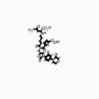 Cl.NC(=O)C[C@H](NCCCCC(=O)N(C[C@H]1CN(c2ccc(N3CCOCC3=O)cc2F)C(=O)O1)C(=O)c1ccc(Cl)s1)C(=O)O